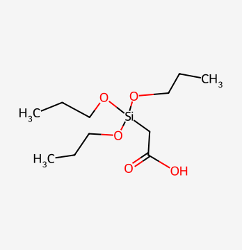 CCCO[Si](CC(=O)O)(OCCC)OCCC